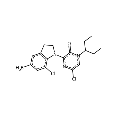 Bc1cc(Cl)c2c(c1)CCN2c1nc(Cl)cn(C(CC)CC)c1=O